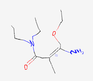 CCO/C(N)=C(/C)C(=O)N(CC)CC